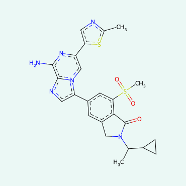 Cc1ncc(-c2cn3c(-c4cc5c(c(S(C)(=O)=O)c4)C(=O)N(C(C)C4CC4)C5)cnc3c(N)n2)s1